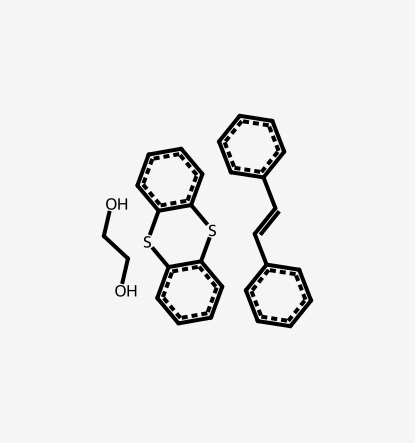 C(=Cc1ccccc1)c1ccccc1.OCCO.c1ccc2c(c1)Sc1ccccc1S2